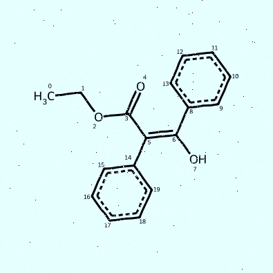 CCOC(=O)C(=C(O)c1ccccc1)c1ccccc1